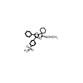 CN(O)C(=O)C1(c2nc(-c3ccc(S(N)(=O)=O)cc3)c(-c3ccccc3)o2)CCCCC1